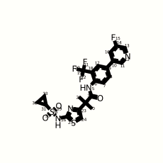 CC(C)(C(=O)Nc1ccc(-c2cncc(F)c2)cc1C(F)(F)F)c1csc(NS(=O)(=O)C2CC2)n1